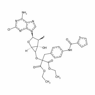 CCOC(=O)C(Cc1ccc(NC(=O)c2cccs2)cc1)(OC1[C@H]2O[C@@H](n3cnc4c(N)nc(Cl)nc43)[C@@H](F)[C@@]12O)C(=O)OCC